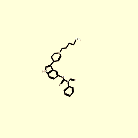 CCCCCN1C=CC(c2c[nH]c3ccc(NC(=O)N(C=O)c4ccccc4)cc23)CC1